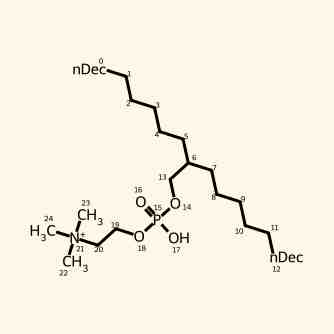 CCCCCCCCCCCCCCCC(CCCCCCCCCCCCCCC)COP(=O)(O)OCC[N+](C)(C)C